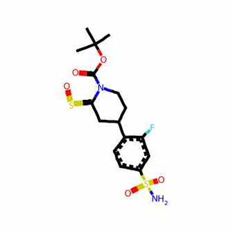 CC(C)(C)OC(=O)N1CCC(c2ccc(S(N)(=O)=O)cc2F)CC1=S=O